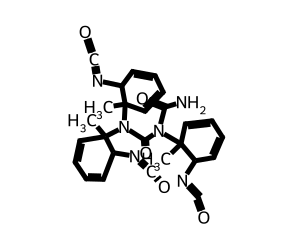 CC1(N(C(N)=O)C(=O)N(C2(C)C=CC=CC2N=C=O)C2(C)C=CC=CC2N=C=O)C=CC=CC1N=C=O